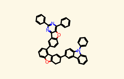 C1=C(c2ccc3c(c2)c2ccccc2n3-c2ccccc2)CCc2oc3cccc(-c4ccc5oc6c(-c7ccccc7)nc(-c7ccccc7)nc6c5c4)c3c21